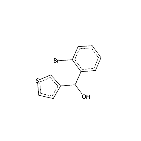 OC(c1ccsc1)c1ccccc1Br